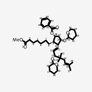 COC(=O)CCCCCC[C@@H]1[C@@H](/C=C/[C@@H](OC2CCCCO2)C(C)(C)CC=C(C)C)[C@H](OC2CCCCO2)C[C@@H]1OC(=O)c1ccccc1